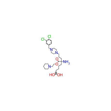 NC(CCCCB(O)O)(CCCN1CCN(Cc2ccc(Cl)c(Cl)c2)CC1)C(=O)OCCN1CCCCC1